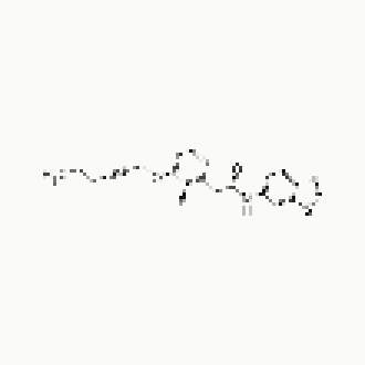 CCCC#CCOc1cccc(CC(=O)Nc2ccc3ncsc3c2)c1F